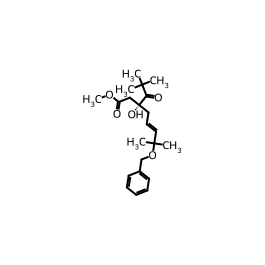 COC(=O)C[C@](O)(C/C=C/C(C)(C)OCc1ccccc1)C(=O)C(C)(C)C